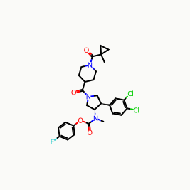 CN(C(=O)Oc1ccc(F)cc1)[C@@H]1CN(C(=O)C2CCN(C(=O)C3(C)CC3)CC2)C[C@H]1c1ccc(Cl)c(Cl)c1